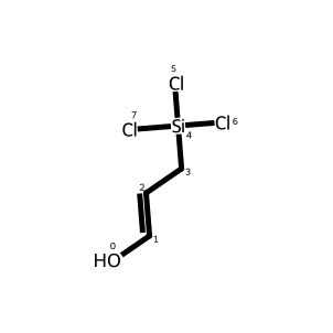 OC=CC[Si](Cl)(Cl)Cl